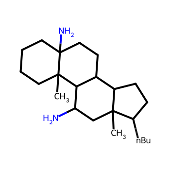 CCCCC1CCC2C3CCC4(N)CCCCC4(C)C3C(N)CC12C